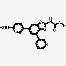 CCNC(=O)Nc1nc2cc(-c3ccc(NC(C)=O)nc3)cc(-c3cccnc3)c2s1